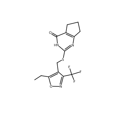 CCc1onc(C(F)(F)F)c1CSc1nc2c(c(=O)[nH]1)CCC2